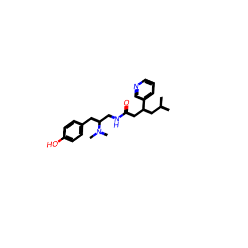 CC(C)CC(CC(=O)NCC(Cc1ccc(O)cc1)N(C)C)c1cccnc1